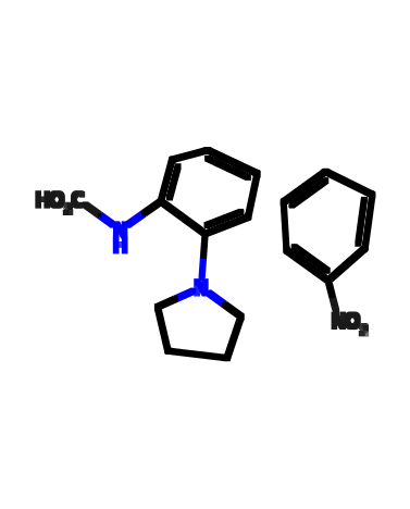 O=C(O)Nc1ccccc1N1CCCC1.O=[N+]([O-])c1ccccc1